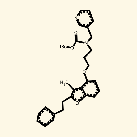 Cc1c(CCc2ccccc2)oc2cccc(OCCCN(Cc3cccnc3)C(=O)OC(C)(C)C)c12